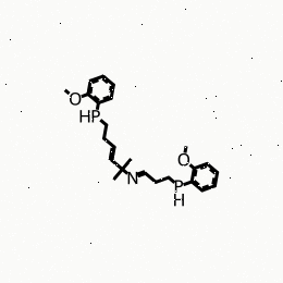 COc1ccccc1PCCC=CC(C)(C)N=CCCPc1ccccc1OC